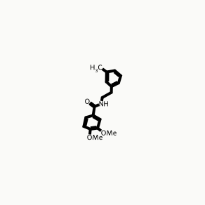 COc1ccc(C(=O)NCCc2cccc(C)c2)cc1OC